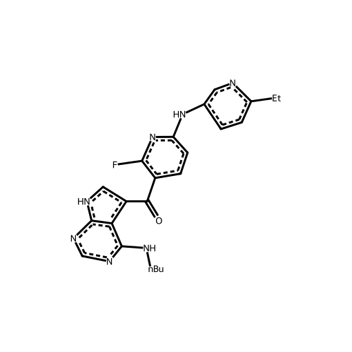 CCCCNc1ncnc2[nH]cc(C(=O)c3ccc(Nc4ccc(CC)nc4)nc3F)c12